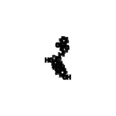 C[C@H](CCC[C@@H](C)[C@H]1C(O)C[C@H]2[C@@H]3CC=C4C[C@@H](O)CC[C@]4(C)[C@H]3CC[C@]12C)CN1C(=O)c2ccccc2C1=O